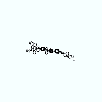 C=CC(=O)OCCC[C@H]1CC[C@H](c2ccc(C(=O)Oc3ccc(C4O[C@@H](C(=O)OC(C)C)[C@H](C(=O)OC(C)C)O4)cc3)cc2)CC1